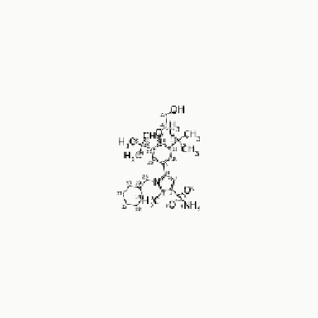 Cc1c(S(N)(=O)=O)cc(-c2cc(C(C)(C)C)c(OCCO)c(C(C)(C)C)c2)n1CC1CCCCC1